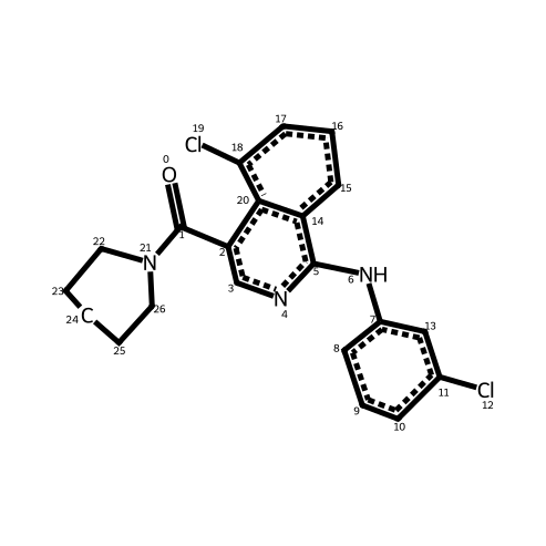 O=C(c1cnc(Nc2cccc(Cl)c2)c2cccc(Cl)c12)N1CCCCC1